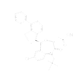 CC(C)(C)CN1C(=O)[C@@H](CC(=O)O)O[C@H](c2cccc3c(-c4ccccc4)cccc23)c2cc(Cl)ccc21